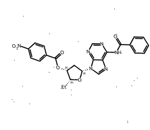 CC[C@H]1O[C@@H](n2cnc3c(NC(=O)c4ccccc4)ncnc32)C[C@H]1OC(=O)c1ccc([N+](=O)[O-])cc1